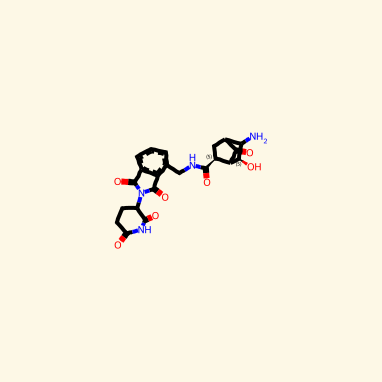 NC1C2C[C@H](C(=O)NCc3cccc4c3C(=O)N(C3CCC(=O)NC3=O)C4=O)C(C2=O)[C@@H]1O